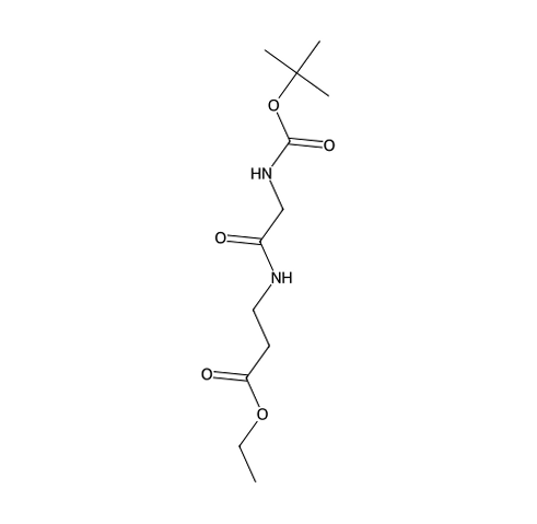 CCOC(=O)CCNC(=O)CNC(=O)OC(C)(C)C